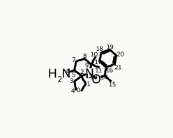 CCC1(CC)C(N)CCC(C)(C)N1OC(C)c1ccccc1